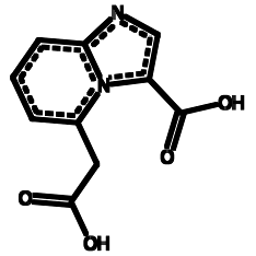 O=C(O)Cc1cccc2ncc(C(=O)O)n12